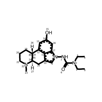 CCN(CC)C(=O)Nn1cc2c3c(cc(O)cc31)[C@H]1CCCN(C)[C@@H]1C2